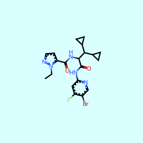 CCn1nccc1C(=O)NC(C(=O)Nc1cc(F)c(Br)cn1)C(C1CC1)C1CC1